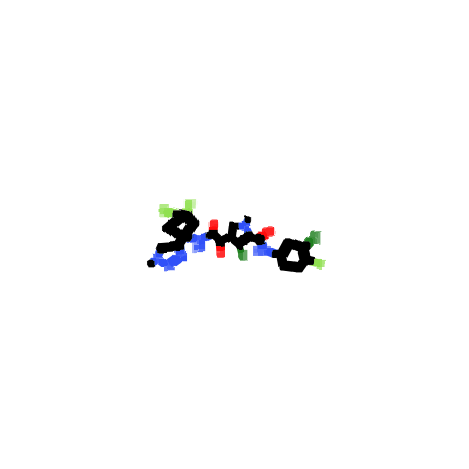 Cn1cc(C2(NC(=O)C(=O)c3cn(C)c(C(=O)Nc4ccc(F)c(Cl)c4)c3Cl)CC(F)(F)C2)nn1